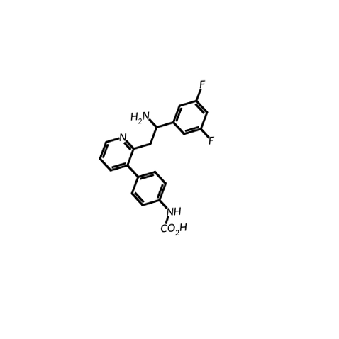 NC(Cc1ncccc1-c1ccc(NC(=O)O)cc1)c1cc(F)cc(F)c1